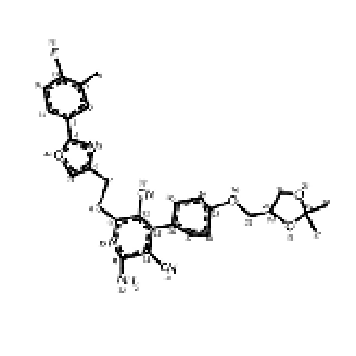 Cc1cc(-c2nc(CSc3nc(N)c(C#N)c(-c4ccc(OC[C@H]5COC(C)(C)O5)cc4)c3C#N)co2)ccc1F